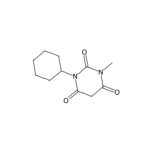 CN1C(=O)CC(=O)N(C2CCCCC2)C1=O